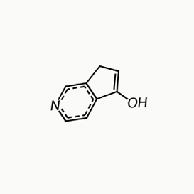 OC1=CCc2cnccc21